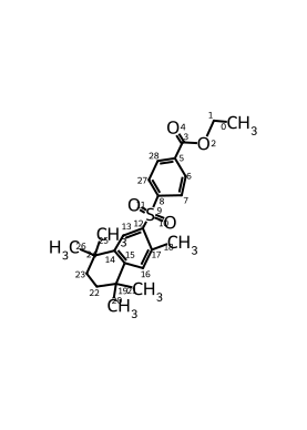 CCOC(=O)c1ccc(S(=O)(=O)c2cc3c(cc2C)C(C)(C)CCC3(C)C)cc1